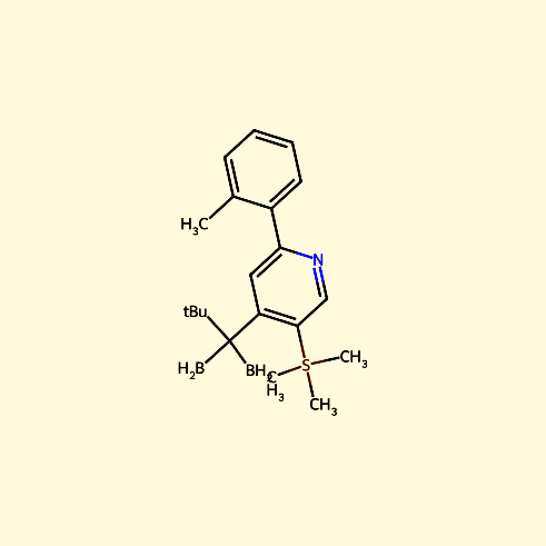 BC(B)(c1cc(-c2ccccc2C)ncc1S(C)(C)C)C(C)(C)C